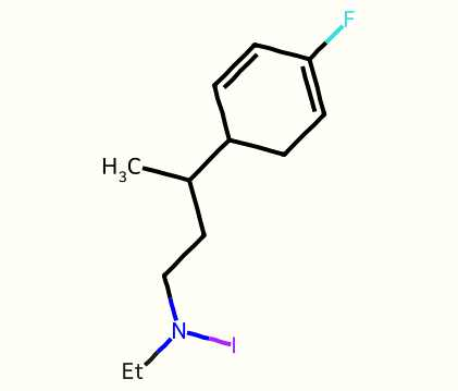 CCN(I)CCC(C)C1C=CC(F)=CC1